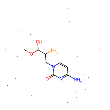 COC(O)C(P)Cn1ccc(N)nc1=O